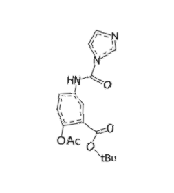 CC(=O)Oc1ccc(NC(=O)n2ccnc2)cc1C(=O)OC(C)(C)C